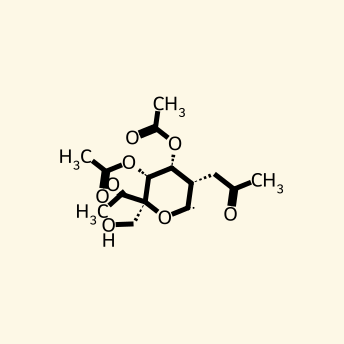 CC(=O)C[C@@H]1[CH]O[C@@](CO)(C(C)=O)[C@H](OC(C)=O)[C@@H]1OC(C)=O